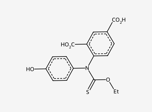 CCOC(=S)N(c1ccc(O)cc1)c1ccc(C(=O)O)cc1C(=O)O